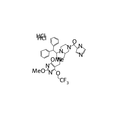 COc1nc(OC)c(CN2CC3CN(C(=O)c4cnccn4)CCN3C(C(c3ccccc3)c3ccccc3)C2)c(OCC(F)(F)F)n1.Cl.Cl